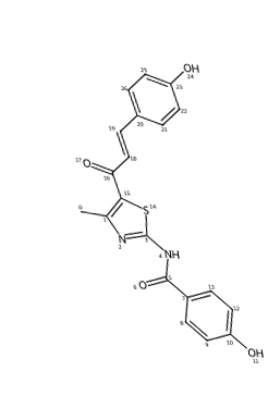 Cc1nc(NC(=O)c2ccc(O)cc2)sc1C(=O)C=Cc1ccc(O)cc1